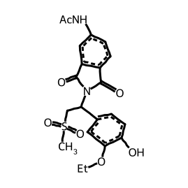 CCOc1cc(C(CS(C)(=O)=O)N2C(=O)c3ccc(NC(C)=O)cc3C2=O)ccc1O